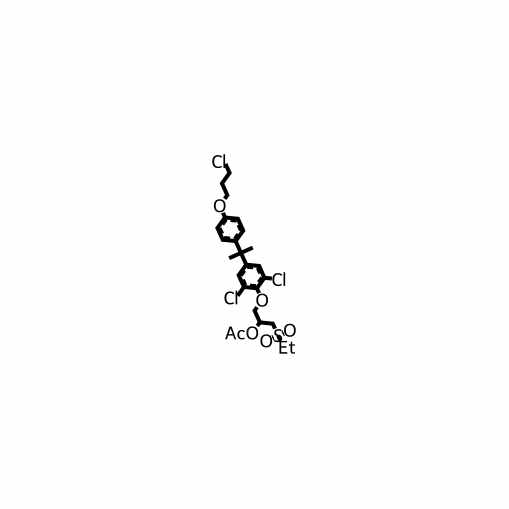 CCS(=O)(=O)CC(COc1c(Cl)cc(C(C)(C)c2ccc(OCCCCl)cc2)cc1Cl)OC(C)=O